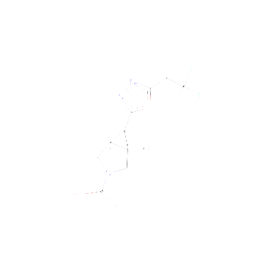 O=C(O)N1C[C@@H]2C(c3nnc(CC(F)(F)F)o3)[C@@H]2C1